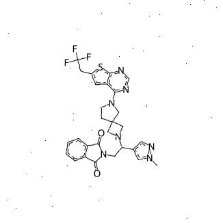 Cn1cc(C(CN2C(=O)c3ccccc3C2=O)N2CC3(CCN(c4ncnc5sc(CC(F)(F)F)cc45)C3)C2)cn1